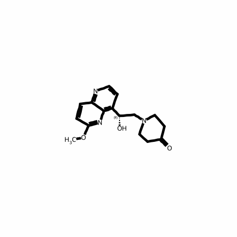 COc1ccc2nccc([C@@H](O)CN3CCC(=O)CC3)c2n1